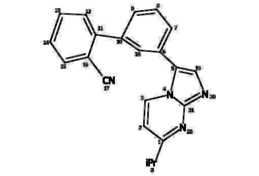 CC(C)c1ccn2c(-c3cccc(-c4ccccc4C#N)c3)cnc2n1